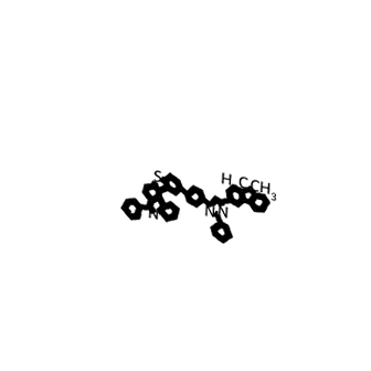 CC1(C)c2ccccc2-c2cc(-c3cc(-c4ccc(-c5ccc6sc7ccc8c(-c9ccccc9)nc9ccccc9c8c7c6c5)cc4)nc(-c4ccccc4)n3)ccc21